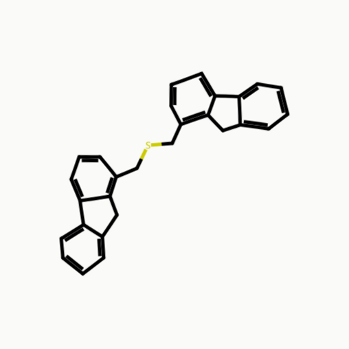 c1ccc2c(c1)Cc1c(CSCc3cccc4c3Cc3ccccc3-4)cccc1-2